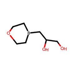 OCC(O)CB1CCOCC1